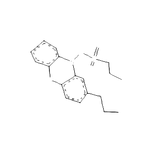 CCCc1ccc2c(c1)N(OS(=O)(=O)CCC)c1ccccc1S2